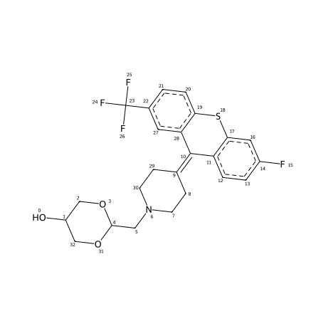 OC1COC(CN2CCC(=C3c4ccc(F)cc4Sc4ccc(C(F)(F)F)cc43)CC2)OC1